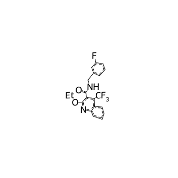 CCOc1nc2ccccc2c(C(F)(F)F)c1C(=O)NCc1cccc(F)c1